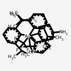 CC(C)c1cccc(C(C)C)[c]1[Au]([c]1ccc(N)cc1)([c]1c(C(C)C)cccc1C(C)C)(=[c]1[nH]cc[nH]1)([C](F)(F)F)[C](F)(F)F